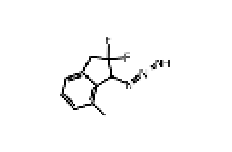 Cc1cccc2c1C(N=[N+]=N)C(F)(F)C2